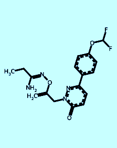 C=C(Cn1nc(-c2ccc(OC(F)F)cc2)ccc1=O)O/N=C(\N)CC